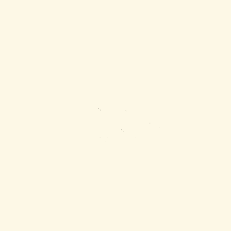 O=C([C@@H]1C[C@H](F)CN1C(=O)O)N1CCOCC1